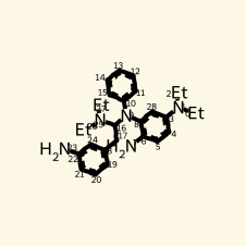 CCN(CC)c1ccc(N)c(N(c2ccccc2)C(Cc2cccc(N)c2)N(CC)CC)c1